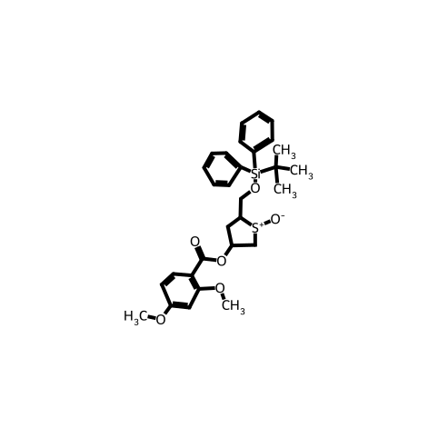 COc1ccc(C(=O)OC2CC(CO[Si](c3ccccc3)(c3ccccc3)C(C)(C)C)[S+]([O-])C2)c(OC)c1